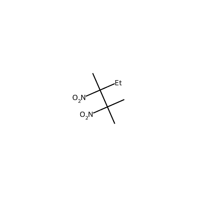 CCC(C)([N+](=O)[O-])C(C)(C)[N+](=O)[O-]